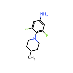 CC1CCN(c2c(F)cc(N)cc2F)CC1